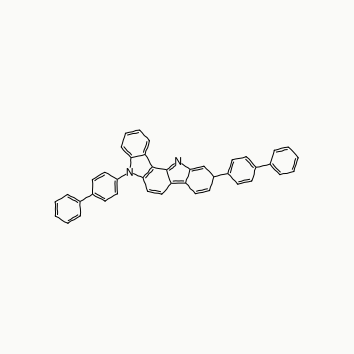 C1=CC(c2ccc(-c3ccccc3)cc2)C=C2N=c3c(ccc4c3c3ccccc3n4-c3ccc(-c4ccccc4)cc3)=C12